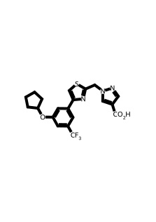 O=C(O)c1cnn(Cc2nc(-c3cc(OC4CCCC4)cc(C(F)(F)F)c3)cs2)c1